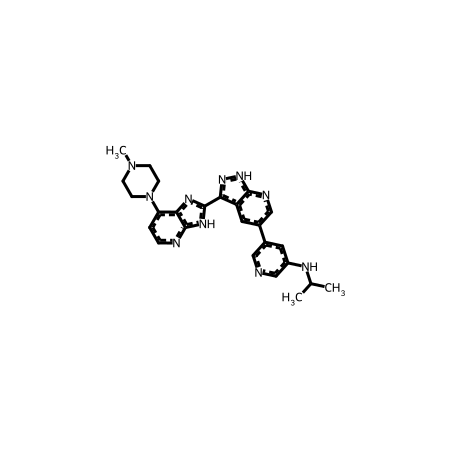 CC(C)Nc1cncc(-c2cnc3[nH]nc(-c4nc5c(N6CCN(C)CC6)ccnc5[nH]4)c3c2)c1